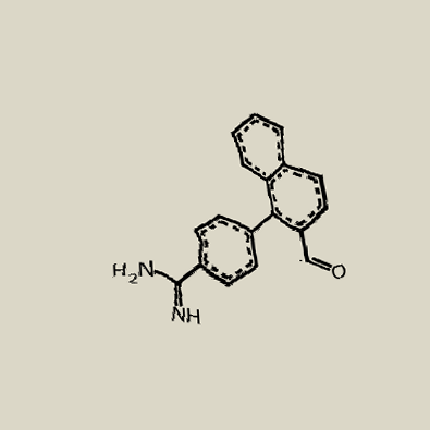 N=C(N)c1ccc(-c2c([C]=O)ccc3ccccc23)cc1